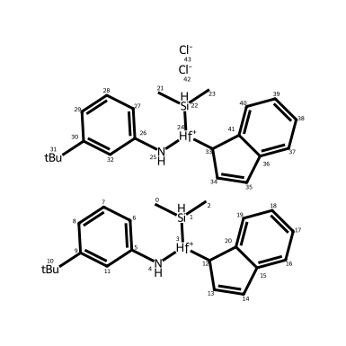 C[SiH](C)[Hf+]([NH]c1cccc(C(C)(C)C)c1)[CH]1C=Cc2ccccc21.C[SiH](C)[Hf+]([NH]c1cccc(C(C)(C)C)c1)[CH]1C=Cc2ccccc21.[Cl-].[Cl-]